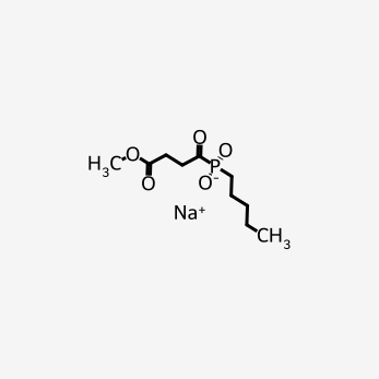 CCCCCP(=O)([O-])C(=O)CCC(=O)OC.[Na+]